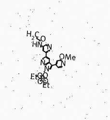 C=CC(=O)Nc1cncc(-c2cnc3c(c2)c(-c2ccnc(OC)c2)cn3COP(=O)(OCC)OCC)c1